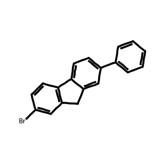 Brc1ccc2c(c1)Cc1cc(-c3ccccc3)ccc1-2